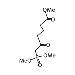 COC(=O)CCCC(=O)CP(=O)(OC)OC